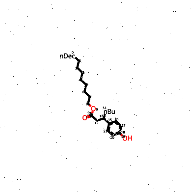 CCCCCCCCCCCCCCCCCCOC(=O)CC(CCCC)c1ccc(O)cc1